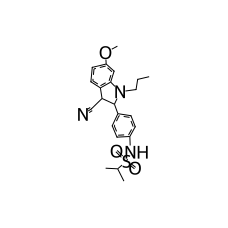 CCCN1c2cc(OC)ccc2C(C#N)C1c1ccc(NS(=O)(=O)C(C)C)cc1